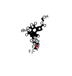 CC1C2CC(C3C(=O)N(OS(=O)(=O)C(F)(F)C(F)(F)C(F)(F)C(F)(F)F)C(=O)C23)C1C1C(=O)OC(=O)C1C1C2CC(CC2C(=O)OCCO)C1C1C(C)C2CC(C(=O)OC(C)(C)C)C1C2